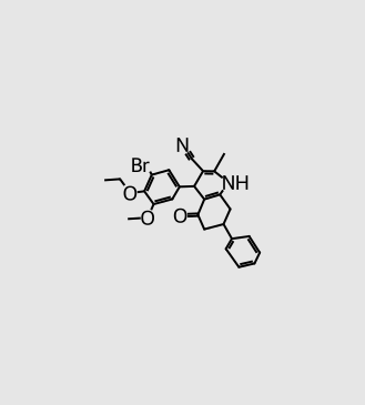 CCOc1c(Br)cc(C2C(C#N)=C(C)NC3=C2C(=O)CC(c2ccccc2)C3)cc1OC